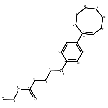 CCOC(=O)CCCOc1ccc(C2=CCCCCCC2)cc1